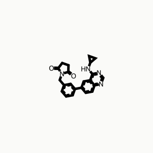 O=C1CCC(=O)N1Cc1cccc(-c2ccc3ncnc(NC4CC4)c3c2)c1